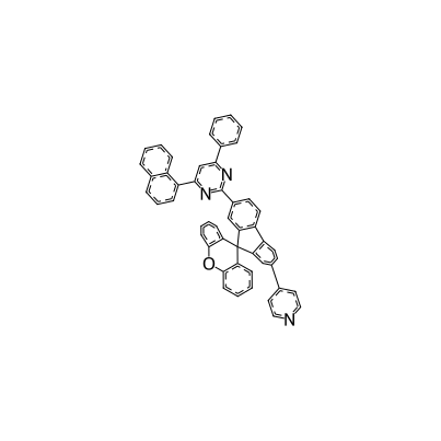 c1ccc(-c2cc(-c3cccc4ccccc34)nc(-c3ccc4c(c3)C3(c5ccccc5Oc5ccccc53)c3cc(-c5ccncc5)ccc3-4)n2)cc1